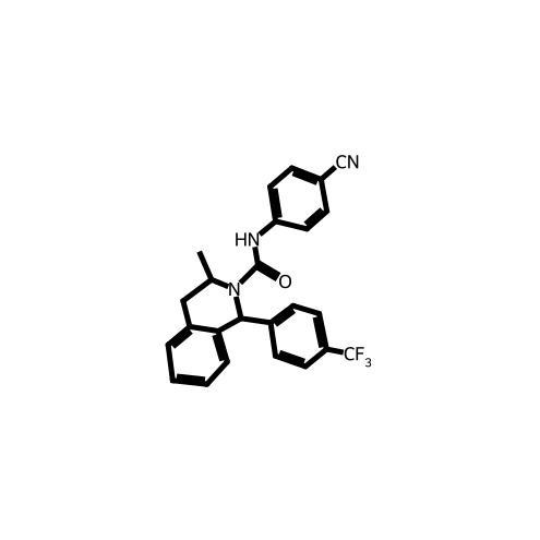 CC1Cc2ccccc2C(c2ccc(C(F)(F)F)cc2)N1C(=O)Nc1ccc(C#N)cc1